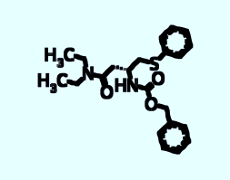 CCN(CC)C(=O)C[C@H](CSc1ccccc1)NC(=O)OCc1ccccc1